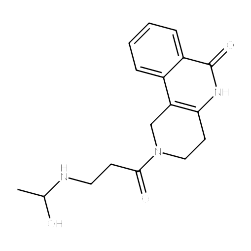 CC(O)NCCC(=O)N1CCc2[nH]c(=O)c3ccccc3c2C1